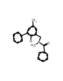 CN(Cc1cc(C(F)(F)F)cc(-c2ccccc2)c1[O])C(=O)c1ccccc1